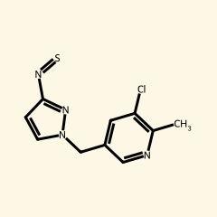 Cc1ncc(Cn2ccc(N=S)n2)cc1Cl